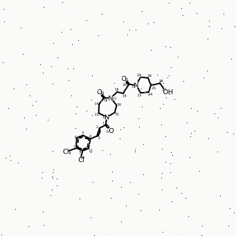 O=C(C=Cc1ccc(Cl)c(Cl)c1)N1CCC(=O)N(CCC(=O)N2CCC(CO)CC2)CC1